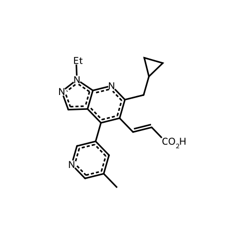 CCn1ncc2c(-c3cncc(C)c3)c(C=CC(=O)O)c(CC3CC3)nc21